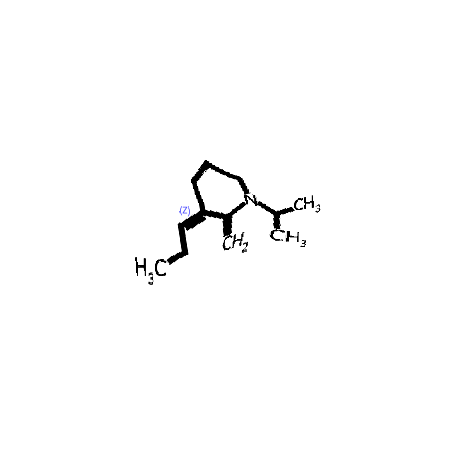 C=C1/C(=C\CC)CCCN1C(C)C